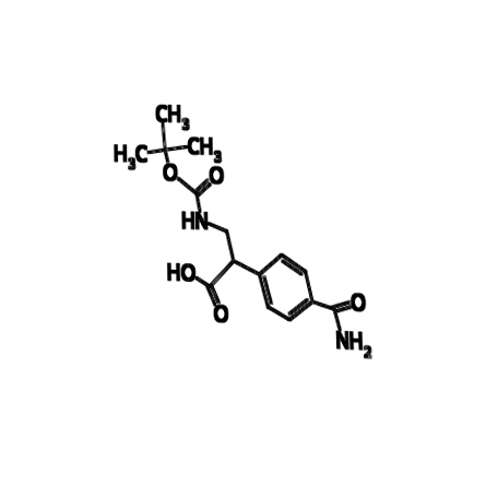 CC(C)(C)OC(=O)NCC(C(=O)O)c1ccc(C(N)=O)cc1